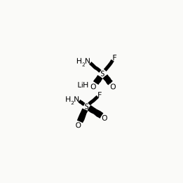 NS(=O)(=O)F.NS(=O)(=O)F.[LiH]